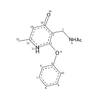 CC(=O)NCc1c(Oc2ccccc2)[nH]c(C)cc1=O